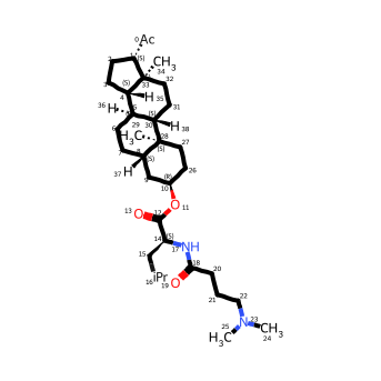 CC(=O)[C@H]1CC[C@H]2[C@@H]3CC[C@H]4C[C@H](OC(=O)[C@H](CC(C)C)NC(=O)CCCN(C)C)CC[C@]4(C)[C@H]3CC[C@]12C